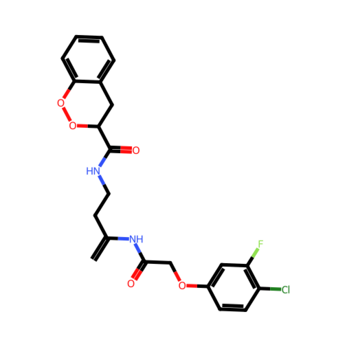 C=C(CCNC(=O)C1Cc2ccccc2OO1)NC(=O)COc1ccc(Cl)c(F)c1